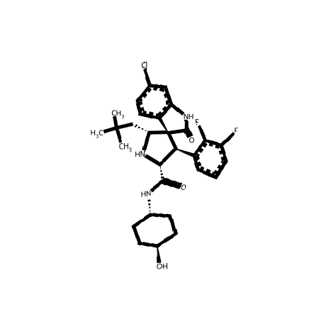 CC(C)(C)C[C@H]1N[C@@H](C(=O)N[C@H]2CC[C@H](O)CC2)[C@H](c2cccc(F)c2F)[C@@]12C(=O)Nc1cc(Cl)ccc12